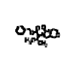 CC(C)[C@@H](C(=O)OCc1ccccc1)N1CC2COCCN2C1=O